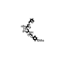 CCCCC(NCC(CC(C)C)NC(=O)COc1ccc(OC)cc1)C(=O)CSCc1ccco1